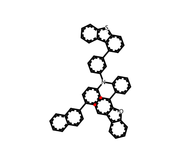 c1cc(-c2cccc3sc4ccccc4c23)cc(N(c2ccc(-c3ccc4ccccc4c3)cc2)c2ccccc2-c2cccc3c2oc2ccccc23)c1